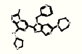 Cc1nnc2c(N[C@@H]3CCOC3)nc(-c3nc4cnc(N5CCOCC5)cc4n3Cc3cccnc3)cn12